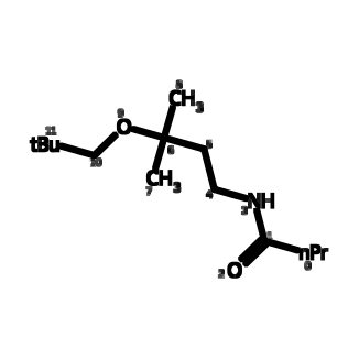 CCCC(=O)NCCC(C)(C)OCC(C)(C)C